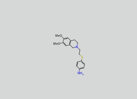 COc1cc2c(cc1OC)CN(CCSc1ccc(N)cc1)CC2